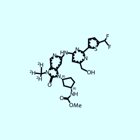 [2H]C([2H])([2H])n1c(=O)n([C@@H]2CC[C@@H](NC(=O)OC)C2)c2cc(Nc3cc(CO)nc(-c4ccc(C(F)F)s4)n3)ncc21